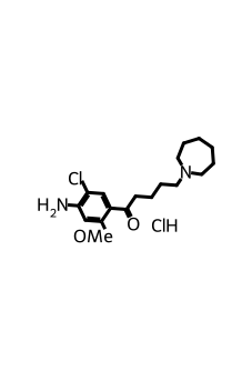 COc1cc(N)c(Cl)cc1C(=O)CCCCN1CCCCCC1.Cl